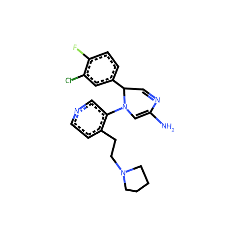 NC1=CN(c2cnccc2CCN2CCCC2)C(c2ccc(F)c(Cl)c2)C=N1